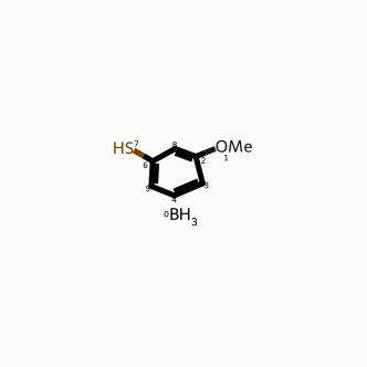 B.COc1cccc(S)c1